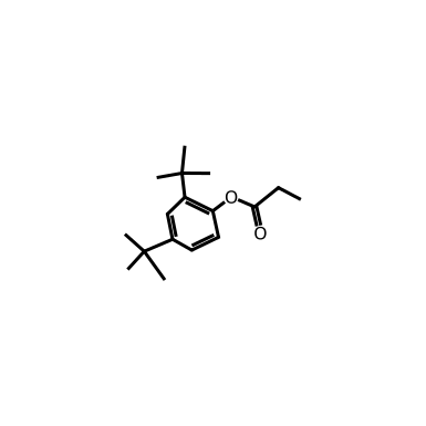 CCC(=O)Oc1ccc(C(C)(C)C)cc1C(C)(C)C